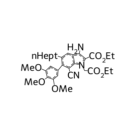 CCCCCCCc1cc2c(N)c(C(=O)OCC)n(CC(=O)OCC)c2c(C#N)c1-c1cc(OC)c(OC)c(OC)c1